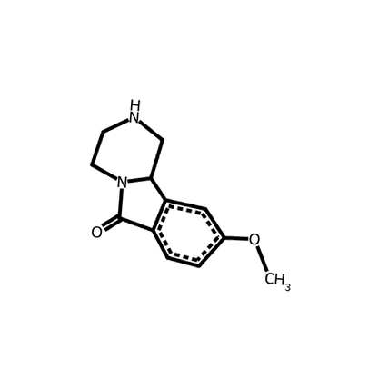 COc1ccc2c(c1)C1CNCCN1C2=O